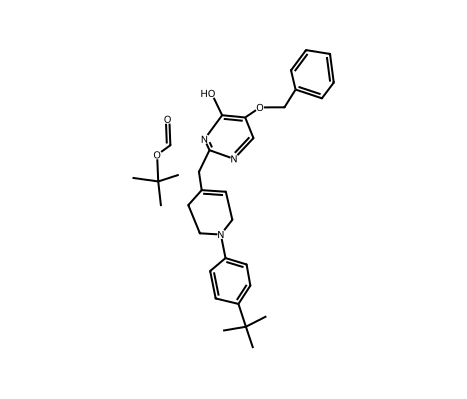 CC(C)(C)OC=O.CC(C)(C)c1ccc(N2CC=C(Cc3ncc(OCc4ccccc4)c(O)n3)CC2)cc1